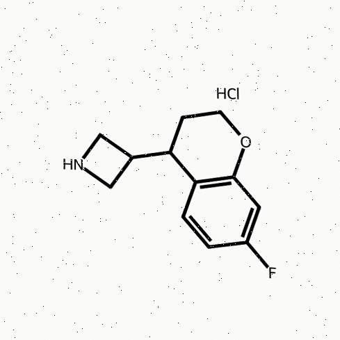 Cl.Fc1ccc2c(c1)OCCC2C1CNC1